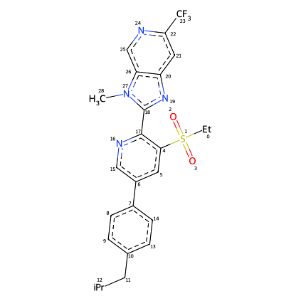 CCS(=O)(=O)c1cc(-c2ccc(CC(C)C)cc2)cnc1-c1nc2cc(C(F)(F)F)ncc2n1C